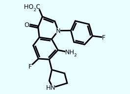 Nc1c(C2CCNC2)c(F)cc2c(=O)c(C(=O)O)cn(-c3ccc(F)cc3)c12